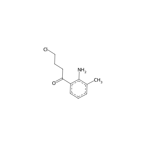 Cc1cccc(C(=O)CCCCl)c1N